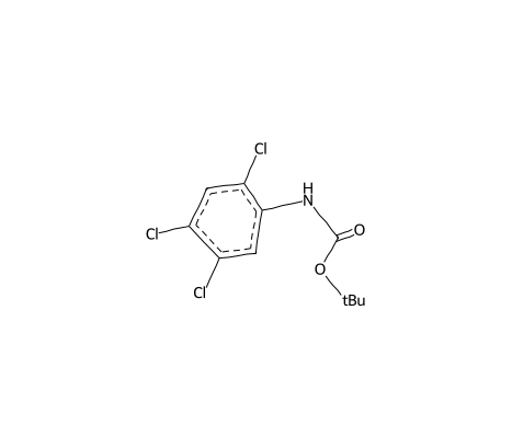 CC(C)(C)OC(=O)Nc1cc(Cl)c(Cl)cc1Cl